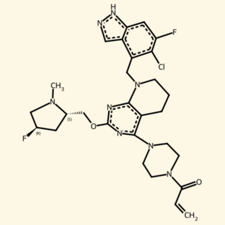 C=CC(=O)N1CCN(c2nc(OC[C@@H]3C[C@@H](F)CN3C)nc3c2CCCN3Cc2c(Cl)c(F)cc3[nH]ncc23)CC1